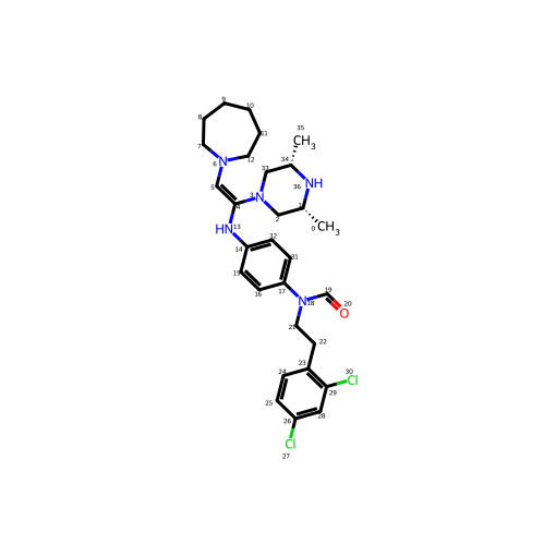 C[C@@H]1CN(/C(=C\N2CCCCCC2)Nc2ccc(N(C=O)CCc3ccc(Cl)cc3Cl)cc2)C[C@H](C)N1